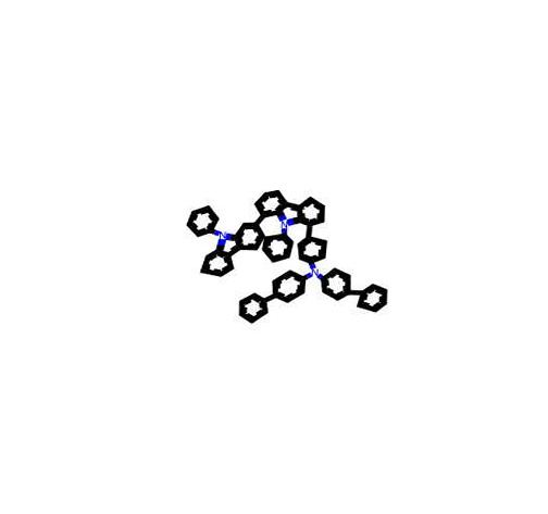 c1ccc(-c2ccc(N(c3ccc(-c4ccccc4)cc3)c3ccc(-c4cccc5c6cccc(-c7ccc8c9ccccc9n(-c9ccccc9)c8c7)c6n(-c6ccccc6)c45)cc3)cc2)cc1